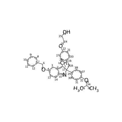 CC1=c2cc(OCc3ccccc3)ccc2=NC1(Cc1ccc(OCCO)cc1)c1ccc(OC(C)C)cc1